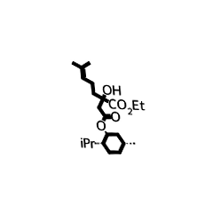 CCOC(=O)C(O)(CCC=C(C)C)CC(=O)O[C@@H]1C[C@H](C)CC[C@@H]1C(C)C